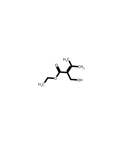 CCOC(=O)C(CO)=C(C)C